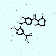 COC(=O)c1ccc(OC)c(C(=O)c2ccc(Nc3c(F)cccc3F)cc2Cl)c1